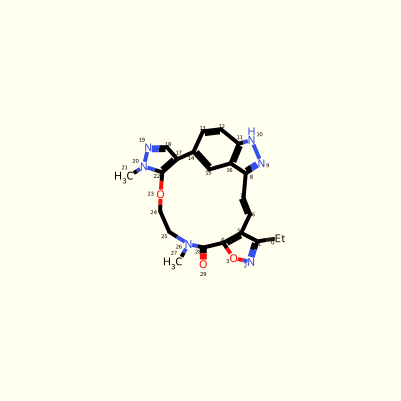 CCc1noc2c1/C=C/c1n[nH]c3ccc(cc13)-c1cnn(C)c1OCCN(C)C2=O